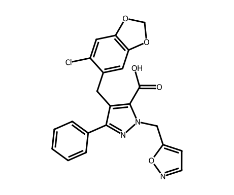 O=C(O)c1c(Cc2cc3c(cc2Cl)OCO3)c(-c2ccccc2)nn1Cc1ccno1